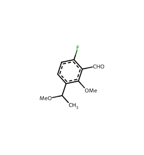 COc1c(C(C)OC)ccc(F)c1C=O